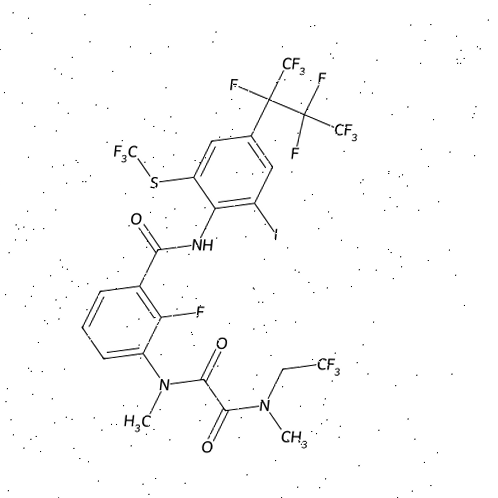 CN(CC(F)(F)F)C(=O)C(=O)N(C)c1cccc(C(=O)Nc2c(I)cc(C(F)(C(F)(F)F)C(F)(F)C(F)(F)F)cc2SC(F)(F)F)c1F